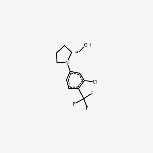 OC[C@H]1CCCN1c1ccc(C(F)(F)F)c(Cl)c1